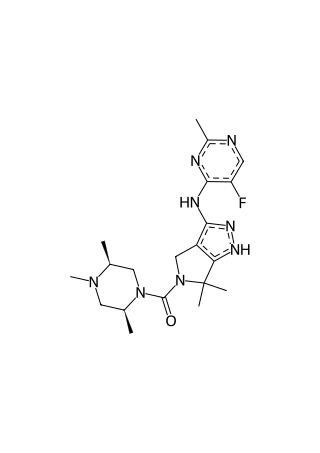 Cc1ncc(F)c(Nc2n[nH]c3c2CN(C(=O)N2C[C@H](C)N(C)C[C@@H]2C)C3(C)C)n1